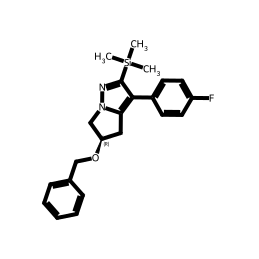 C[Si](C)(C)c1nn2c(c1-c1ccc(F)cc1)C[C@@H](OCc1ccccc1)C2